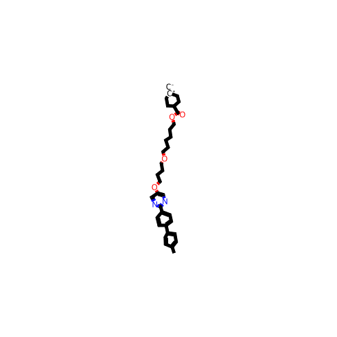 [CH2-][C+]1CCC(C(=O)OCCCCCCOCCCCOc2cnc(-c3ccc(-c4ccc(C)cc4)cc3)nc2)CC1